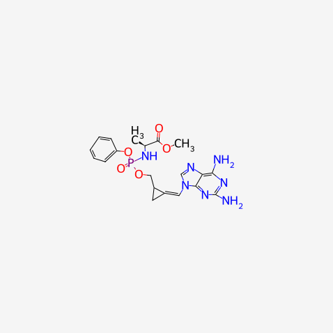 COC(=O)[C@H](C)NP(=O)(OCC1C/C1=C/n1cnc2c(N)nc(N)nc21)Oc1ccccc1